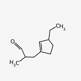 CCC1C=C(CC(C)C=O)CC1